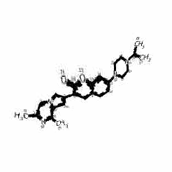 Cc1cn2cc(-c3cc4ccc(N5CCN(C(C)C)CC5)cc4oc3=O)cc2c(C)n1